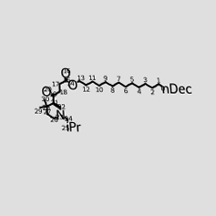 CCCCCCCCCCCCCCCCCCCCCCCOC(=O)CCC(=O)C1=CN(CC(C)C)CCC1(C)C